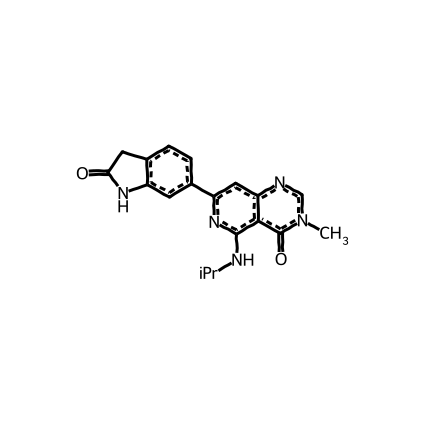 CC(C)Nc1nc(-c2ccc3c(c2)NC(=O)C3)cc2ncn(C)c(=O)c12